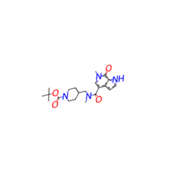 CN(CC1CCN(C(=O)OC(C)(C)C)CC1)C(=O)c1cn(C)c(=O)c2[nH]ccc12